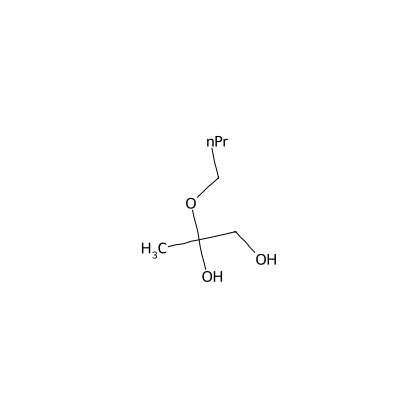 CCCCOC(C)(O)CO